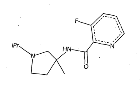 CC(C)N1CCC(C)(NC(=O)c2ncccc2F)C1